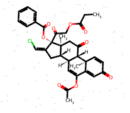 CCC(=O)OCC(=O)[C@]1(OC(=O)c2ccccc2)C(=CCl)C[C@H]2[C@@H]3C=C(OC(C)=O)C4=CC(=O)C=C[C@]4(C)[C@H]3C(=O)C[C@@]21C